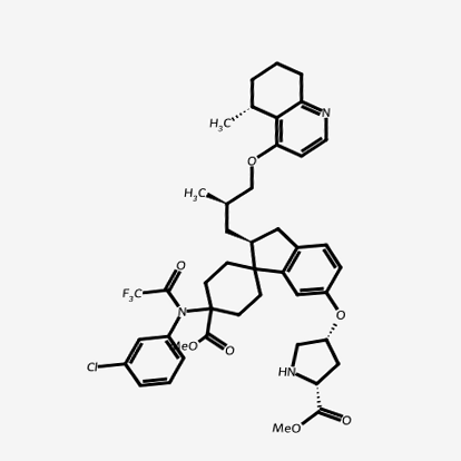 COC(=O)[C@H]1C[C@@H](Oc2ccc3c(c2)C2(CCC(C(=O)OC)(N(C(=O)C(F)(F)F)c4cccc(Cl)c4)CC2)[C@@H](C[C@@H](C)COc2ccnc4c2[C@H](C)CCC4)C3)CN1